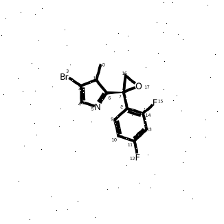 CC1C(Br)=CN=C1[C@@]1(c2ccc(F)cc2F)CO1